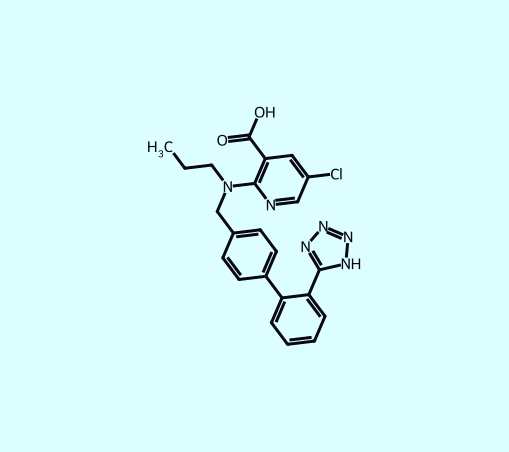 CCCN(Cc1ccc(-c2ccccc2-c2nnn[nH]2)cc1)c1ncc(Cl)cc1C(=O)O